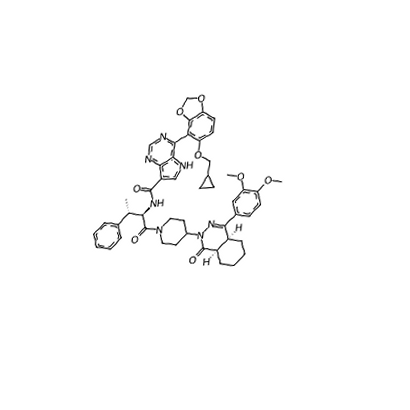 COc1ccc(C2=NN(C3CCN(C(=O)[C@H](NC(=O)c4c[nH]c5c(-c6c(OCC7CC7)ccc7c6OCO7)ncnc45)[C@@H](C)c4ccccc4)CC3)C(=O)[C@@H]3CCCC[C@H]23)cc1OC